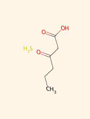 CCCC(=O)CC(=O)O.S